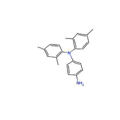 Cc1ccc(N(c2ccc(N)cc2)c2ccc(C)cc2C)c(C)c1